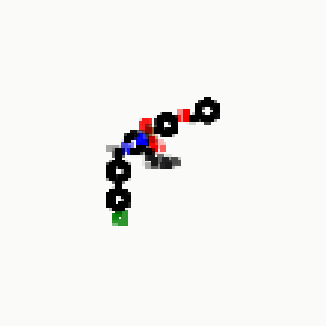 COC(=O)[C@@H]1CN([C@@H](C)c2ccc(-c3ccc(Cl)cc3)cc2)CCN1S(=O)(=O)c1ccc(OCC2CCCCC2)cc1